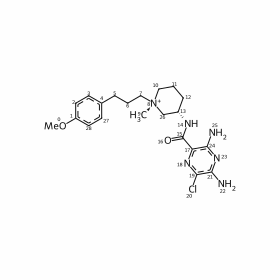 COc1ccc(CCC[N@+]2(C)CCC[C@H](NC(=O)c3nc(Cl)c(N)nc3N)C2)cc1